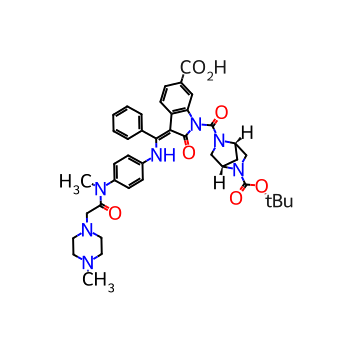 CN1CCN(CC(=O)N(C)c2ccc(N/C(=C3\C(=O)N(C(=O)N4C[C@@H]5C[C@H]4CN5C(=O)OC(C)(C)C)c4cc(C(=O)O)ccc43)c3ccccc3)cc2)CC1